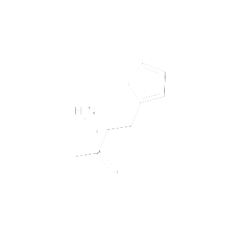 CC(=O)[C@H](N)Cc1cccs1